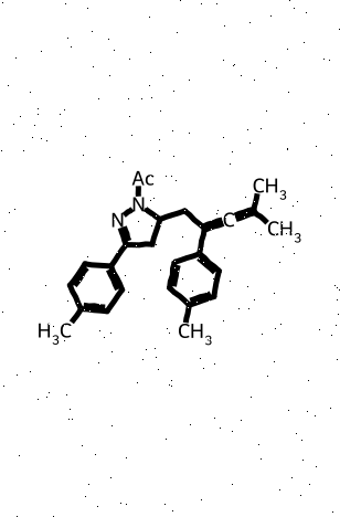 CC(=O)N1N=C(c2ccc(C)cc2)CC1CC(=C=C(C)C)c1ccc(C)cc1